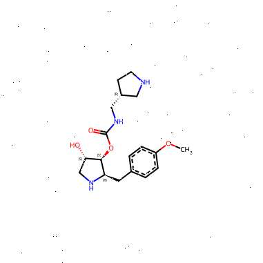 COc1ccc(C[C@H]2NC[C@H](O)[C@H]2OC(=O)NC[C@@H]2CCNC2)cc1